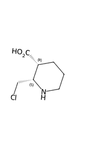 O=C(O)[C@@H]1CCCN[C@@H]1CCl